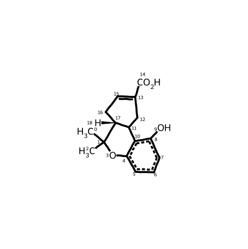 CC1(C)Oc2cccc(O)c2C2CC(C(=O)O)=CC[C@H]21